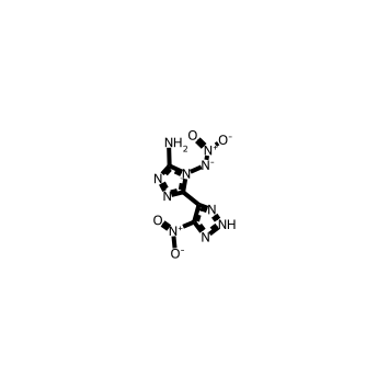 Nc1nnc(-c2n[nH]nc2[N+](=O)[O-])n1[N-][N+](=O)[O-]